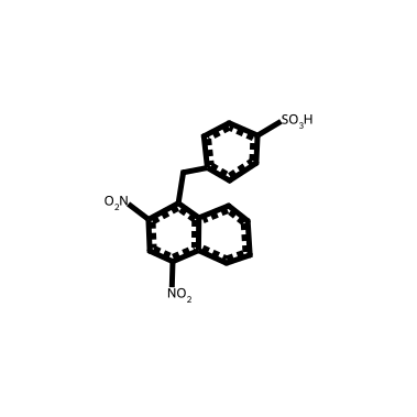 O=[N+]([O-])c1cc([N+](=O)[O-])c2ccccc2c1Cc1ccc(S(=O)(=O)O)cc1